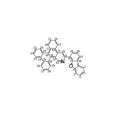 c1ccc2c(c1)oc1c(-c3cc4c5ccccc5c5c6ccccc6c6ccccc6c5c4cn3)cccc12